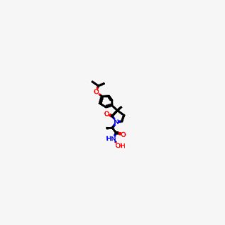 CC(C)Oc1ccc(C2(C)CCN(C(C)C(=O)NO)C2=O)cc1